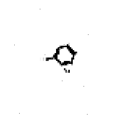 Oc1ccccc1.[Ru]